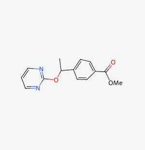 COC(=O)c1ccc(C(C)Oc2ncccn2)cc1